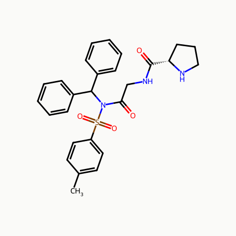 Cc1ccc(S(=O)(=O)N(C(=O)CNC(=O)[C@@H]2CCCN2)C(c2ccccc2)c2ccccc2)cc1